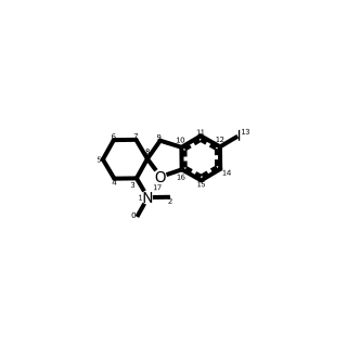 CN(C)C1CCCCC12Cc1cc(I)ccc1O2